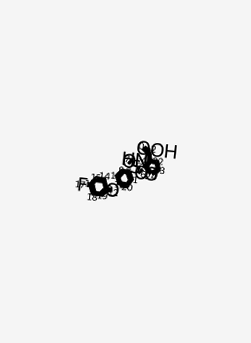 O=C(O)C1(NS(=O)(=O)c2ccc(Oc3ccc(F)cc3)cc2)CCOC1